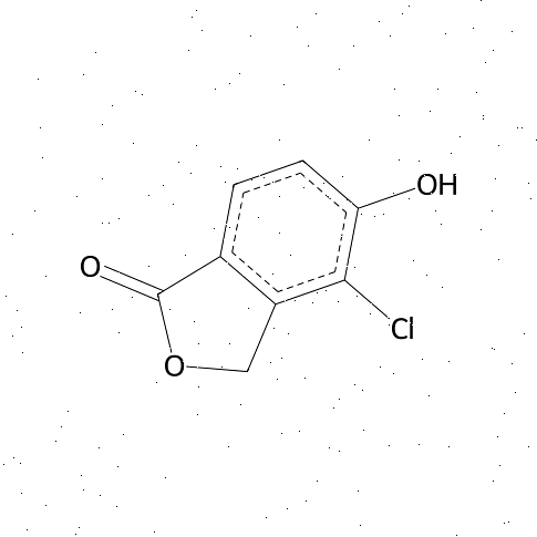 O=C1OCc2c1ccc(O)c2Cl